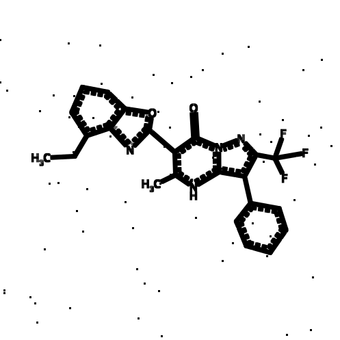 CCc1cccc2oc(-c3c(C)[nH]c4c(-c5ccccc5)c(C(F)(F)F)nn4c3=O)nc12